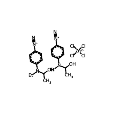 CCN(c1ccc([N+]#N)cc1)C(C)O.CCN(c1ccc([N+]#N)cc1)C(C)O.[Cl][Zn-2]([Cl])([Cl])[Cl]